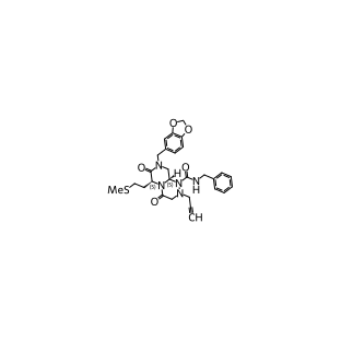 C#CCN1CC(=O)N2[C@@H](CCSC)C(=O)N(Cc3ccc4c(c3)OCO4)C[C@@H]2N1C(=O)NCc1ccccc1